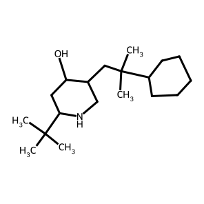 CC(C)(C)C1CC(O)C(CC(C)(C)C2CCCCC2)CN1